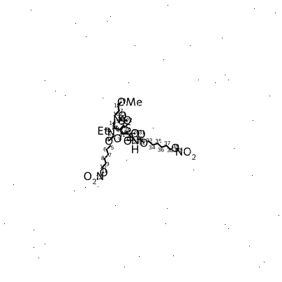 CCN(C(=O)OCCCCCCO[N+](=O)[O-])[C@H]1CN(CCCOC)S(=O)(=O)c2sc(S(=O)(=O)NC(=O)OCCCCCCO[N+](=O)[O-])cc21